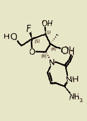 C=C1NC(N)C=CN1[C@@H]1O[C@](F)(CO)[C@@H](O)[C@@]1(C)O